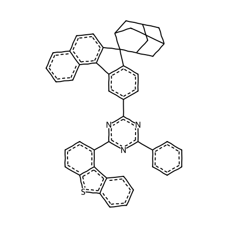 c1ccc(-c2nc(-c3ccc4c(c3)-c3c(ccc5ccccc35)C43C4CC5CC(C4)CC3C5)nc(-c3cccc4sc5ccccc5c34)n2)cc1